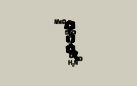 COc1cccc(S(=O)(=O)N2CCN(c3ccc4oc(C(N)=O)cc4c3)CC2)c1